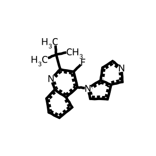 CC(C)(C)c1nc2ccccc2c(-n2ccc3cnccc32)c1F